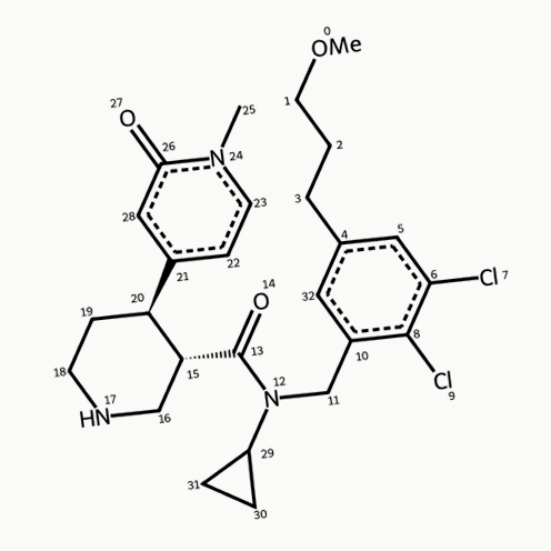 COCCCc1cc(Cl)c(Cl)c(CN(C(=O)[C@@H]2CNCC[C@H]2c2ccn(C)c(=O)c2)C2CC2)c1